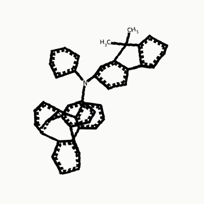 CC1(C)c2ccccc2-c2ccc(N(c3ccccc3)c3ccc4c(c3)-c3c5cccc3-c3cccc-4c3-c3ccccc3-5)cc21